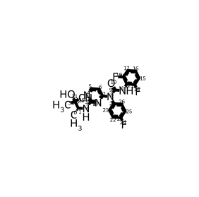 C[C@H](Nc1nccc(N(C(=O)Nc2c(F)cccc2F)c2ccc(F)cc2)n1)C(C)(C)O